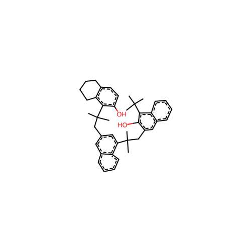 CC(C)(C)c1c(O)c(CC(C)(C)c2cc(CC(C)(C)c3c(O)ccc4c3CCCC4)cc3ccccc23)cc2ccccc12